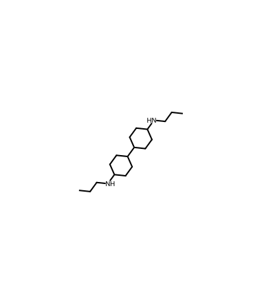 CCCNC1CCC(C2CCC(NCCC)CC2)CC1